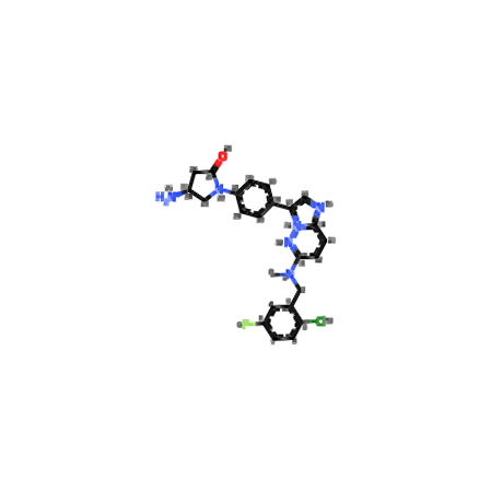 CN(Cc1cc(F)ccc1Cl)c1ccc2ncc(-c3ccc(N4C[C@@H](N)CC4=O)cc3)n2n1